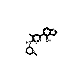 Cc1cc(-c2ccc3sccc3c2O)nnc1N[C@H]1CCCN(C)C1